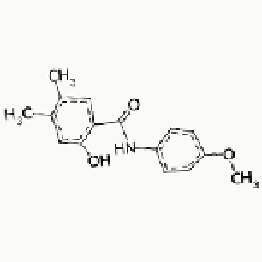 COc1ccc(NC(=O)c2cc(C)c(C)cc2O)cc1